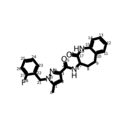 Cc1cc(C(=O)NC2CCc3ccccc3NC2=O)nn1Cc1ccccc1F